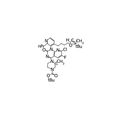 CCCc1nccc(CCCCO[Si](C)(C)C(C)(C)C)c1-n1c(=O)nc(N2CCN(C(=O)OC(C)(C)C)C[C@@H]2C)c2cc(F)c(Cl)nc21